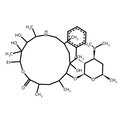 CCC1OC(=O)C(C)CC(C)C(O[C@@H]2O[C@H](C)C[C@H](N(C)C)[C@H]2Oc2ccccc2)C(C)(O)CC(C)CNC(C)C(O)C1(C)O